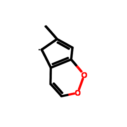 CC1=CC2=C([CH]1)C=COO2